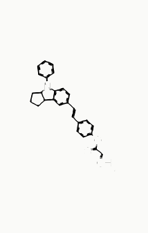 C=CC(=O)Oc1ccc(C=Cc2ccc3c(c2)C2CCCC2N3c2ccccc2)cc1